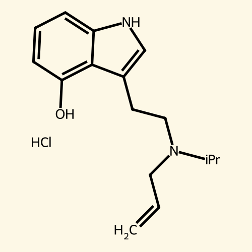 C=CCN(CCc1c[nH]c2cccc(O)c12)C(C)C.Cl